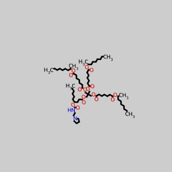 CCCCCCCC(C)OC(=O)CCCCCC(=O)OCC(COC(=O)CCCCCC(=O)OC(C)CCCCCCC)(COC(=O)CCCCCC(=O)OC(C)CCCCCCC)COC(=O)CCC(CCCCCC)OC(=O)NCCN1CCCC1